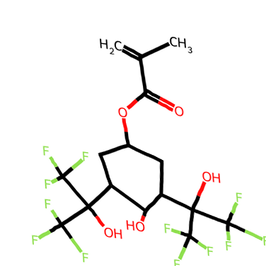 C=C(C)C(=O)OC1CC(C(O)(C(F)(F)F)C(F)(F)F)C(O)C(C(O)(C(F)(F)F)C(F)(F)F)C1